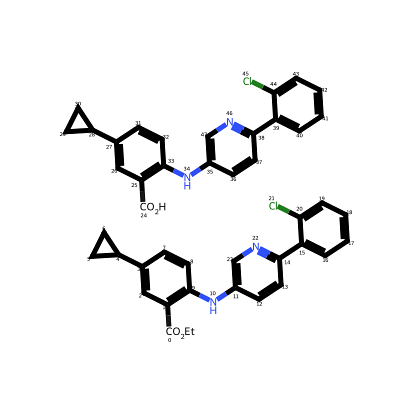 CCOC(=O)c1cc(C2CC2)ccc1Nc1ccc(-c2ccccc2Cl)nc1.O=C(O)c1cc(C2CC2)ccc1Nc1ccc(-c2ccccc2Cl)nc1